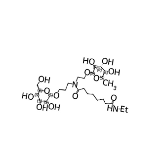 CCNC(=O)CCCCCCC(=O)N(CCCO[C@H]1O[C@H](CO)[C@@H](O)[C@H](O)[C@@H]1O)CCO[C@@H]1O[C@@H](C)[C@@H](O)[C@@H](O)[C@@H]1O